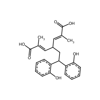 CC(=CC(C=C(C)C(=O)O)CC(c1ccccc1O)c1ccccc1O)C(=O)O